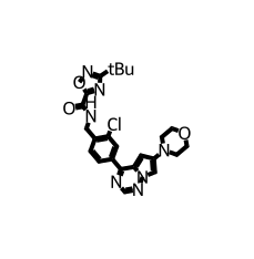 CC(C)(C)c1noc(C(=O)NCc2ccc(-c3ncnn4cc(N5CCOCC5)cc34)cc2Cl)n1